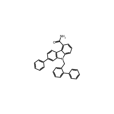 NC(=O)c1cccc2c1c1[c]cc(-c3ccccc3)cc1n2Cc1ccccc1-c1ccccc1